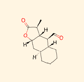 C[C@@H]1C(=O)O[C@H]2C[C@@H]3CCCC[C@H]3[C@H](C=O)[C@H]21